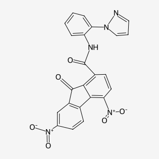 O=C(Nc1ccccc1-n1cccn1)c1ccc([N+](=O)[O-])c2c1C(=O)c1cc([N+](=O)[O-])ccc1-2